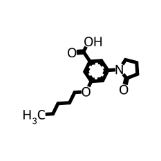 CCCCCOc1cc(C(=O)O)cc(N2CCCC2=O)c1